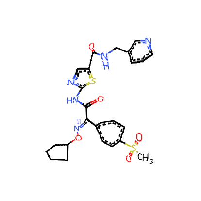 CS(=O)(=O)c1ccc(/C(=N\OC2CCCC2)C(=O)Nc2ncc(C(=O)NCc3cccnc3)s2)cc1